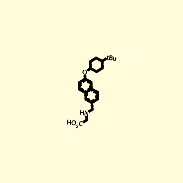 CC(C)(C)C1CCC(Oc2ccc3cc(CNCC(=O)O)ccc3c2)CC1